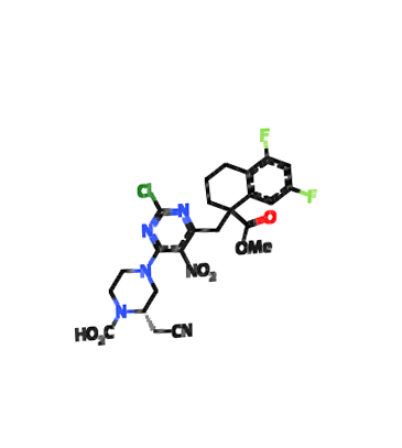 COC(=O)C1(Cc2nc(Cl)nc(N3CCN(C(=O)O)[C@@H](CC#N)C3)c2[N+](=O)[O-])CCCc2c(F)cc(F)cc21